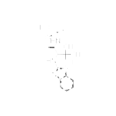 CC(C)(S)C(Nc1nc2ccccc2o1)C(=O)NS(C)(=O)=O